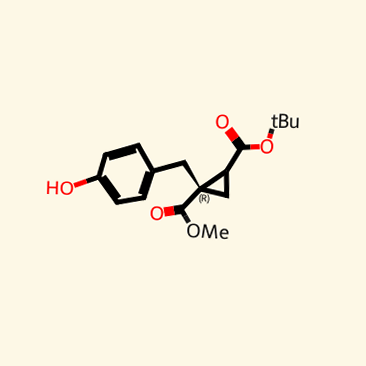 COC(=O)[C@@]1(Cc2ccc(O)cc2)CC1C(=O)OC(C)(C)C